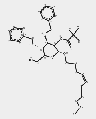 COCCC/C=C\CCCO[C@@H]1OC(CO)[C@H](OCc2ccccc2)[C@@H](OCc2ccccc2)C1OC(=O)C(C)(C)C